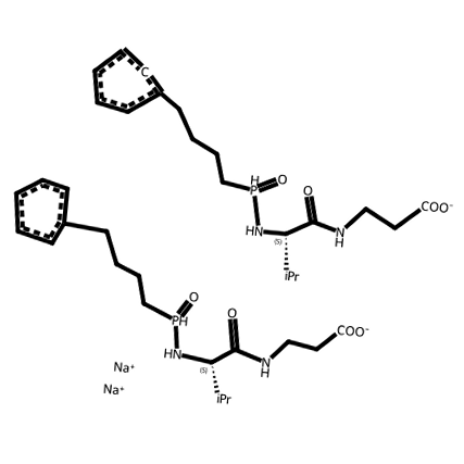 CC(C)[C@H](N[PH](=O)CCCCc1ccccc1)C(=O)NCCC(=O)[O-].CC(C)[C@H](N[PH](=O)CCCCc1ccccc1)C(=O)NCCC(=O)[O-].[Na+].[Na+]